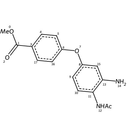 COC(=O)c1ccc(Oc2ccc(NC(C)=O)c(N)c2)cc1